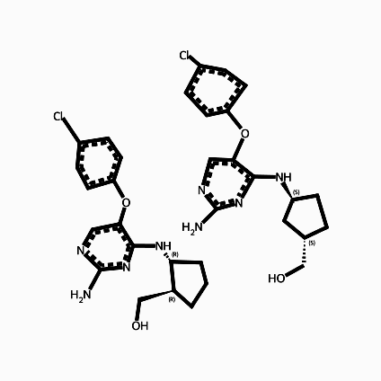 Nc1ncc(Oc2ccc(Cl)cc2)c(N[C@@H]2CCC[C@H]2CO)n1.Nc1ncc(Oc2ccc(Cl)cc2)c(N[C@H]2CC[C@H](CO)C2)n1